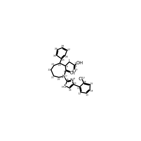 O=C(O)CC1C(=O)N(c2nc(-c3ccccc3Cl)cs2)CCCCC1c1ccccc1